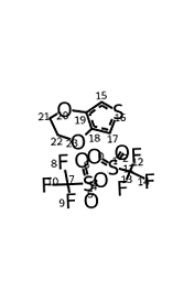 O=S(=O)(OS(=O)(=O)C(F)(F)F)C(F)(F)F.c1scc2c1OCCO2